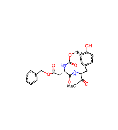 COC(=O)[C@H](Cc1ccc(O)cc1)NC(=O)[C@H](CC(=O)OCc1ccccc1)NC(=O)OC(C)(C)C